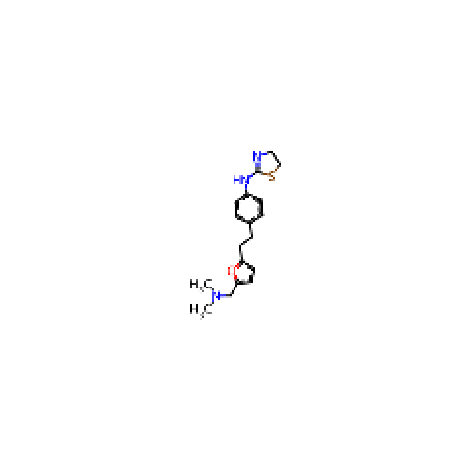 CN(C)Cc1ccc(CCc2ccc(NC3=NCCS3)cc2)o1